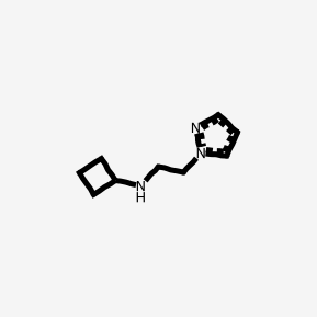 c1cnn(CCNC2CCC2)c1